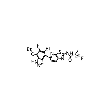 CCOc1c(F)c(CC)c(-c2ccc3nc(NC(=O)[C@@H]4C[C@@H]4F)sc3n2)c2cn[nH]c12